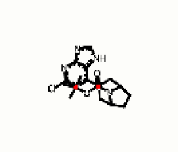 CC(C)(C)OC(=O)N1C2CCC1CN(c1nc(Cl)nc3nc[nH]c13)C2